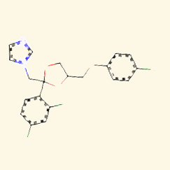 Clc1ccc(C2(Cn3ccnc3)OCC(CSc3ccc(Br)cc3)O2)c(Cl)c1